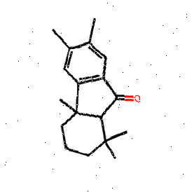 Cc1cc2c(cc1C)C1(C)CCCC(C)(C)C1C2=O